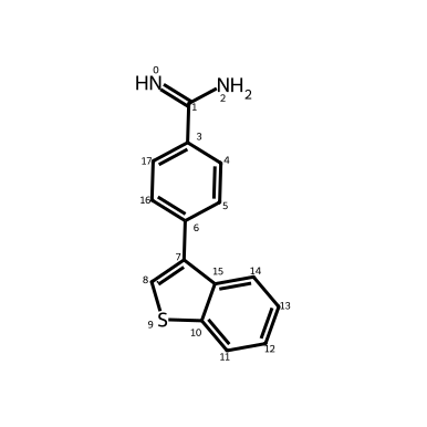 N=C(N)c1ccc(-c2[c]sc3ccccc23)cc1